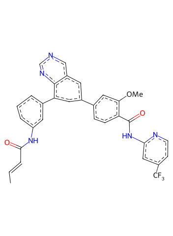 C/C=C/C(=O)Nc1cccc(-c2cc(-c3ccc(C(=O)Nc4cc(C(F)(F)F)ccn4)c(OC)c3)cc3cncnc23)c1